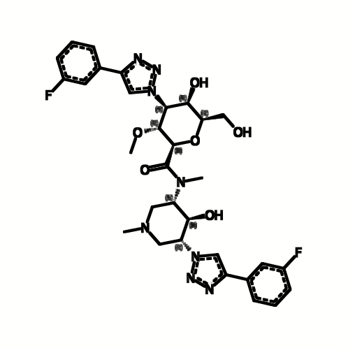 CO[C@@H]1[C@@H](n2cc(-c3cccc(F)c3)nn2)[C@@H](O)[C@@H](CO)O[C@H]1C(=O)N(C)[C@H]1CN(C)C[C@@H](n2cc(-c3cccc(F)c3)nn2)[C@@H]1O